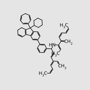 C=CC(/C=C/C(N/C(=C\C)C(=C)/C=C\C=C/C)c1cccc(-c2ccc3c(c2)C2=C(CCC=C2)C3(C2=CC=CCC=C2)C2CCCCC2)c1)=C\C=C/C